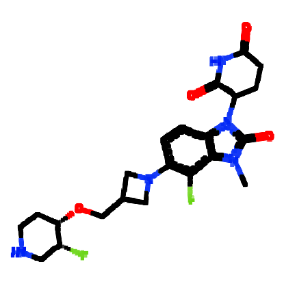 Cn1c(=O)n(C2CCC(=O)NC2=O)c2ccc(N3CC(CO[C@H]4CCNC[C@H]4F)C3)c(F)c21